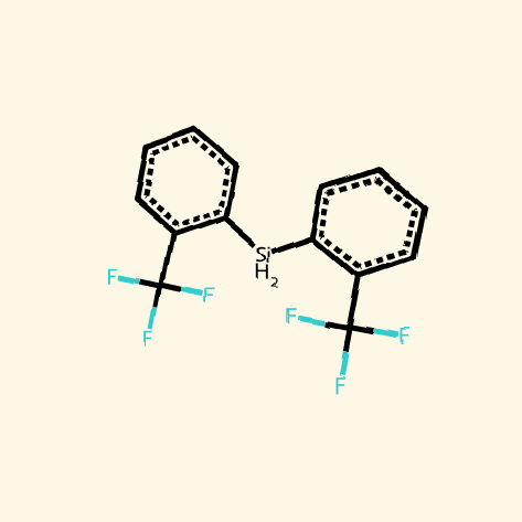 FC(F)(F)c1ccccc1[SiH2]c1ccccc1C(F)(F)F